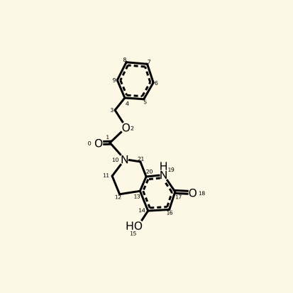 O=C(OCc1ccccc1)N1CCc2c(O)cc(=O)[nH]c2C1